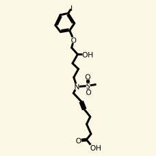 CS(=O)(=O)N(CC#CCCCC(=O)O)CCCC(O)COc1cccc(I)c1